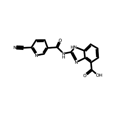 N#Cc1ccc(C(=O)Nc2nc3c(C(=O)O)cccc3[nH]2)cn1